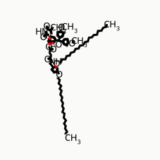 CCCCCCCCCCCCCCCCCCCCCCOc1ccc(CNC(=O)CCC(=O)O[C@@H]2C[C@H](n3cc(C)c(=O)[nH]c3=O)O[C@@H]2COC(c2ccccc2)(c2ccc(OC)cc2)c2ccc(OC)cc2)c(OCCCCCCCCCCCCCCCCCCCCCC)c1